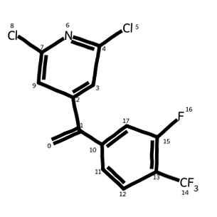 C=C(c1cc(Cl)nc(Cl)c1)c1ccc(C(F)(F)F)c(F)c1